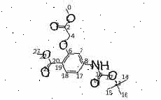 COC(=O)COc1cc(NC(=O)OC(C)(C)C)ccc1C(=O)OC